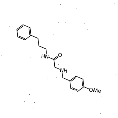 COc1ccc(CNCC(=O)NCCCc2ccccc2)cc1